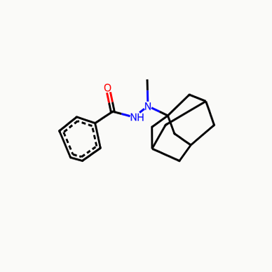 CN(NC(=O)c1ccccc1)C12CC3CC(CC(C3)C1)C2